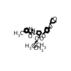 Cc1ccc2nnn(C[C@@H]3CC[C@H](C(=O)c4ccc(OCC5CCOCC5)cc4)[C@H]3C(=O)OCCS(C)(C)C)c(=O)c2c1